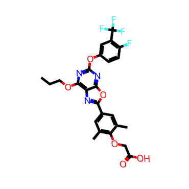 CCCOc1nc(Oc2ccc(F)c(C(F)(F)F)c2)nc2oc(-c3cc(C)c(OCC(=O)O)c(C)c3)nc12